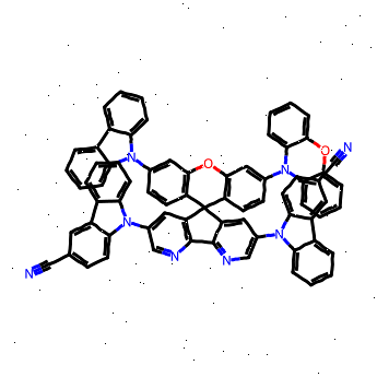 N#Cc1ccc2c(c1)c1ccccc1n2-c1cnc2c(c1)C1(c3ccc(N4c5ccccc5Oc5ccccc54)cc3Oc3cc(-n4c5ccccc5c5ccccc54)ccc31)c1cc(-n3c4ccccc4c4cc(C#N)ccc43)cnc1-2